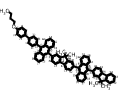 CCCCOc1ccc(-c2ccc(-c3c4ccccc4c(-c4ccc5c(c4)C(C)(C)c4cc(-c6c7ccccc7c(-c7ccc8c(c7)C(C)(C)c7ccccc7-8)c7ccccc67)ccc4-5)c4ccccc34)cc2)cc1